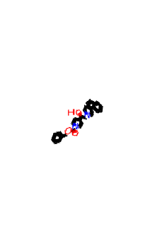 O=C(OCc1ccccc1)N1CCC(C(O)CN2CCC3(C=Cc4ccccc43)CC2)CC1